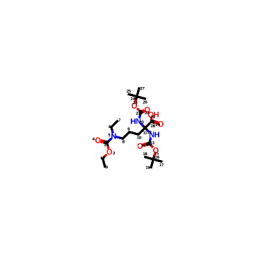 CCOC(=O)N(CC)CCCC(NC(=O)OC(C)(C)C)(NC(=O)OC(C)(C)C)C(=O)O